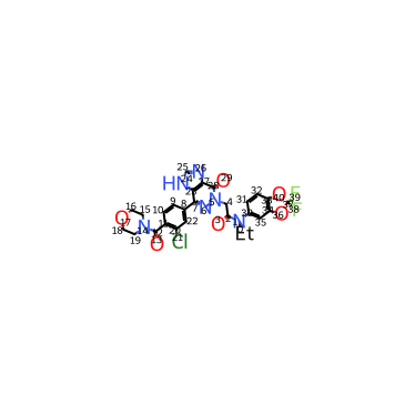 CCN(C(=O)Cn1nc(-c2ccc(C(=O)N3CCOCC3)c(Cl)c2)c2[nH]cnc2c1=O)c1ccc2c(c1)OC(F)(F)O2